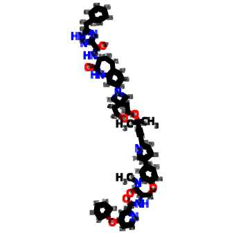 CN1C(=O)[C@H](NC(=O)c2cc(Oc3ccccc3)ccn2)COc2ccc(-c3ccc(C#CC(C)(C)OC4CC5(CCO4)CN(c4ccc6c(c4)NC(=O)[C@H](NC(=O)c4n[nH]c(Cc7ccccc7)n4)CC6)C5)nc3)cc21